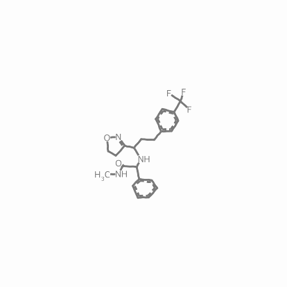 CNC(=O)C(NC(CCc1ccc(C(F)(F)F)cc1)C1=NOCC1)c1ccccc1